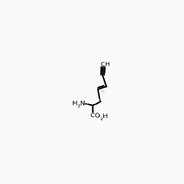 C#C/C=C/CC(N)C(=O)O